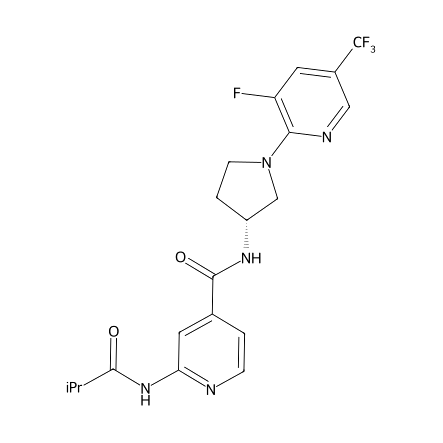 CC(C)C(=O)Nc1cc(C(=O)N[C@@H]2CCN(c3ncc(C(F)(F)F)cc3F)C2)ccn1